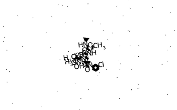 CCC[C@H](NC(=O)[C@@H]1C[C@@]2(CN(c3cccc(Cl)c3)C(=O)O2)CN1C(=O)[C@@H](NC(=O)O)C(C)(C)C)C(=O)C(=O)NC1CC1